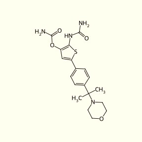 CC(C)(c1ccc(-c2cc(OC(N)=O)c(NC(N)=O)s2)cc1)N1CCOCC1